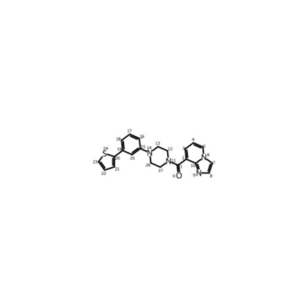 O=C(c1cccn2ccnc12)N1CCN(c2[c]ccc(-c3cccs3)c2)CC1